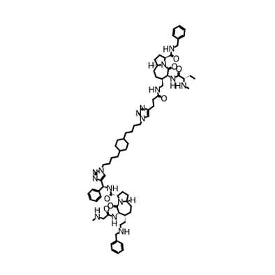 CC[C@H](NC)C(=O)N[C@@H]1C(=O)N2[C@@H](CC[C@@H]1CNC(=O)CCc1cn(CCCCC3CCC(CCCCn4cc([C@@H](NC(=O)[C@@H]5CC[C@@H]6CC[C@H](CCNCc7ccccc7)[C@H](NC(=O)CNC)C(=O)N65)c5ccccc5)nn4)CC3)nn1)CC[C@H]2C(=O)NCc1ccccc1